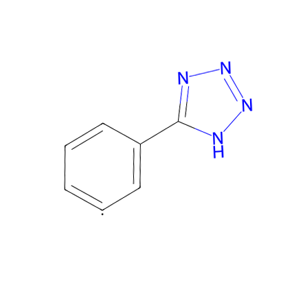 [c]1cccc(-c2nnn[nH]2)c1